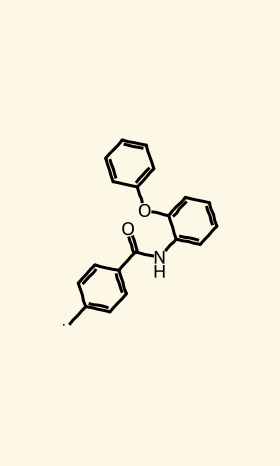 [CH2]c1ccc(C(=O)Nc2ccccc2Oc2ccccc2)cc1